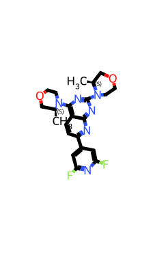 C[C@H]1COCCN1c1nc(N2CCOC[C@@H]2C)c2ccc(-c3cc(F)nc(F)c3)nc2n1